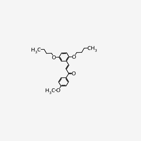 CCCCOc1ccc(OCCCC)c(C=CC(=O)c2ccc(OC)cc2)c1